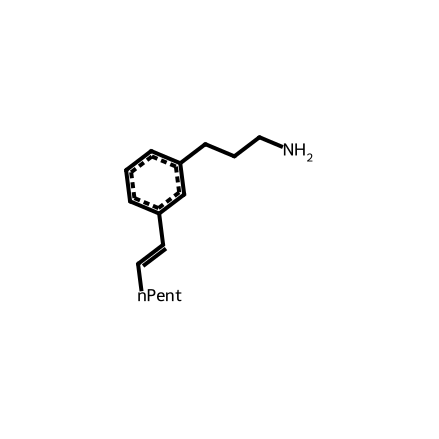 CCCCCC=Cc1cccc(CCCN)c1